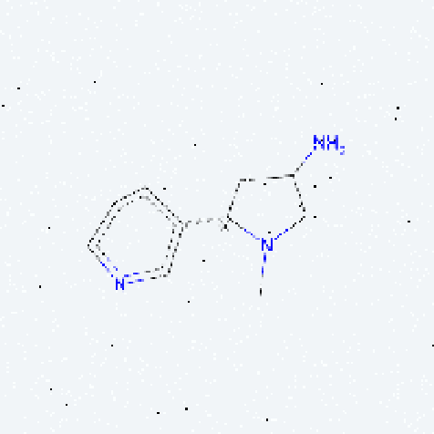 CN1CC(N)C[C@H]1c1cccnc1